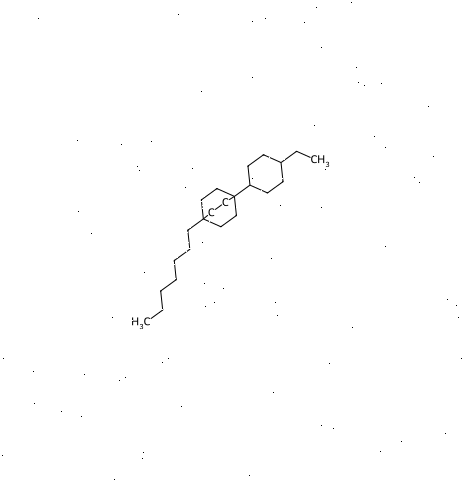 CCCCCCCC12CCC(C3CCC(CC)CC3)(CC1)CC2